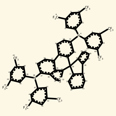 FC(F)(F)c1cc(N(c2cc(C(F)(F)F)cc(C(F)(F)F)c2)c2ccc3c(c2)C2(c4ccccc4-c4ccccc42)c2cccc4c(N(c5cc(C(F)(F)F)cc(C(F)(F)F)c5)c5cc(C(F)(F)F)cc(C(F)(F)F)c5)ccc-3c24)cc(C(F)(F)F)c1